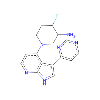 NC1CN(c2ccnc3[nH]cc(-c4ccncn4)c23)CCC1F